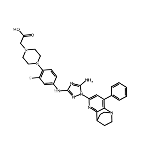 Nc1nc(Nc2ccc(N3CCN(CC(=O)O)CC3)c(F)c2)nn1-c1cc(-c2ccccc2)c2c(n1)C1CCN2CC1